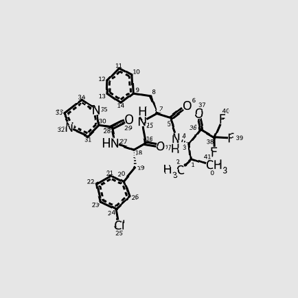 CC(C)[C@H](NC(=O)[C@H](Cc1ccccc1)NC(=O)[C@H](Cc1cccc(Cl)c1)NC(=O)c1cnccn1)C(=O)C(F)(F)F